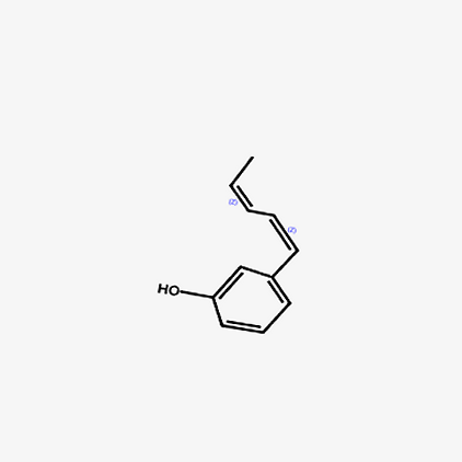 C/C=C\C=C/c1cccc(O)c1